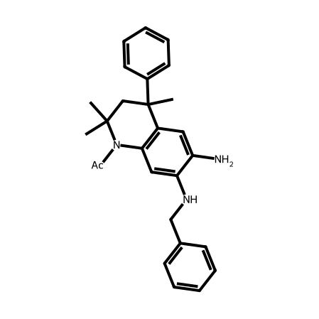 CC(=O)N1c2cc(NCc3ccccc3)c(N)cc2C(C)(c2ccccc2)CC1(C)C